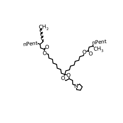 C=C=C=C=CC(CCCCC)CC(=O)OCCCCCCCCC1(CCCCCCCCOC(=O)CC(C)CCCCC)OCC(CCN2CCCC2)O1